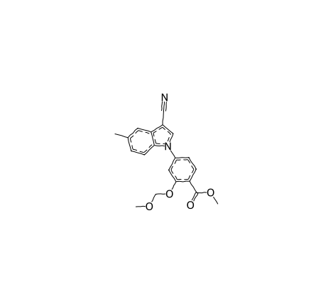 COCOc1cc(-n2cc(C#N)c3cc(C)ccc32)ccc1C(=O)OC